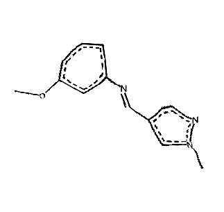 COc1cccc(/N=C/c2cnn(C)c2)c1